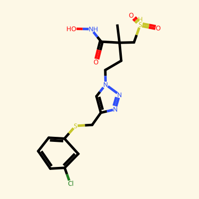 CC(CCn1cc(CSc2cccc(Cl)c2)nn1)(C[SH](=O)=O)C(=O)NO